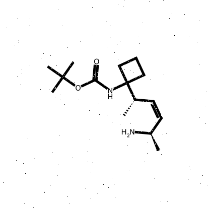 C[C@@H](N)/C=C\[C@H](C)C1(NC(=O)OC(C)(C)C)CCC1